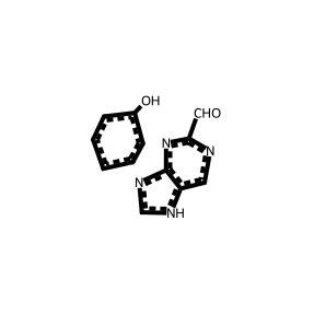 O=Cc1ncc2[nH]cnc2n1.Oc1ccccc1